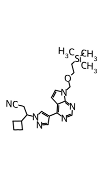 C[Si](C)(C)CCOCn1ccc2c(-c3cnn(C(CC#N)C4CCC4)c3)ncnc21